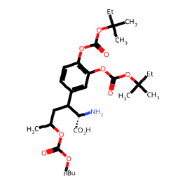 CCCCOC(=O)OC(C)CC(c1ccc(OC(=O)OC(C)(C)CC)c(OC(=O)OC(C)(C)CC)c1)[C@H](N)C(=O)O